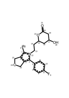 CC(C)c1c2c(c(-c3ccc(F)cc3)n1CCC1CC(O)CC(=O)O1)COC2